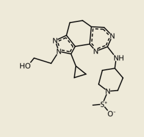 C[S+]([O-])N1CCC(Nc2ncc3c(n2)-c2c(nn(CCO)c2C2CC2)CC3)CC1